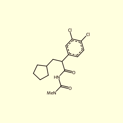 CNC(=O)NC(=O)C(CC1CCCC1)c1ccc(Cl)c(Cl)c1